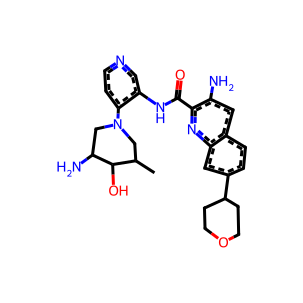 CC1CN(c2ccncc2NC(=O)c2nc3cc(C4CCOCC4)ccc3cc2N)CC(N)C1O